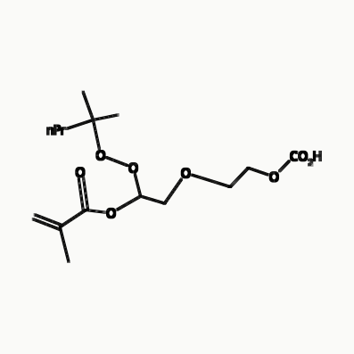 C=C(C)C(=O)OC(COCCOC(=O)O)OOC(C)(C)CCC